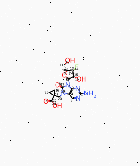 Nc1ncc2c(n1)n([C@@H]1O[C@H](CO)[C@@H](F)[C@H]1O)c(=O)n2CC1(C(=O)O)CC1